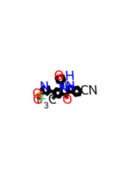 N#Cc1ccc2c(c1)[nH]c1c2c(=O)c2cc(C(F)(F)F)c(-c3cncc(S(=O)(=O)F)c3)cc2n1C1CCOCC1